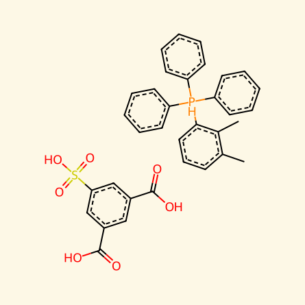 Cc1cccc([PH](c2ccccc2)(c2ccccc2)c2ccccc2)c1C.O=C(O)c1cc(C(=O)O)cc(S(=O)(=O)O)c1